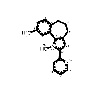 Cc1ccc2c(c1)-c1c(nc(-c3ccccn3)n1O)CCC2